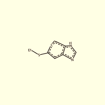 [CH2]CSc1ccc2[nH]cnc2c1